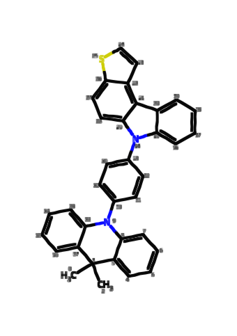 CC1(C)c2ccccc2N(c2ccc(-n3c4ccccc4c4c5ccsc5ccc43)cc2)c2ccccc21